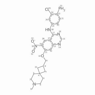 CN1CCC2(CC1)CC(COc1cc3ncnc(Nc4ccc(P)c(Cl)c4)c3cc1[N+](=O)[O-])C2